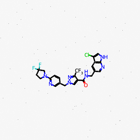 O=C(NCc1cnc2[nH]cc(Cl)c2c1)c1cn(Cc2ccc(N3CCC(F)(F)C3)nc2)nc1C(F)(F)F